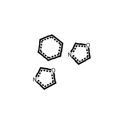 c1ccccc1.c1cocn1.c1cocn1